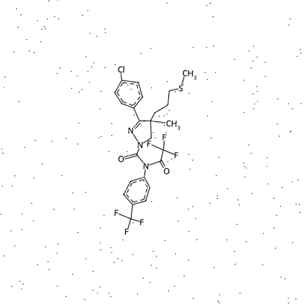 CSCCCC1(C)CN(C(=O)N(C(=O)C(F)(F)F)c2ccc(C(F)(F)F)cc2)N=C1c1ccc(Cl)cc1